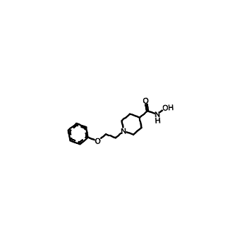 O=C(NO)C1CCN(CCOc2ccccc2)CC1